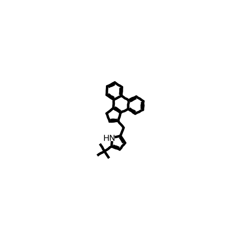 CC(C)(C)c1ccc(CC2=CCc3c2c2ccccc2c2ccccc32)[nH]1